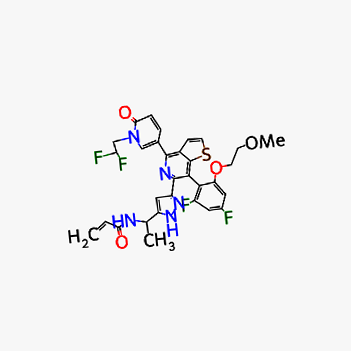 C=CC(=O)NC(C)c1cc(-c2nc(-c3ccc(=O)n(CC(F)F)c3)c3ccsc3c2-c2c(F)cc(F)cc2OCCOC)n[nH]1